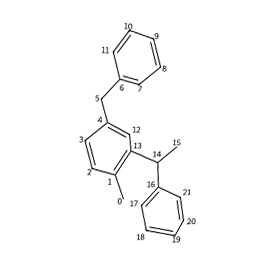 Cc1ccc(Cc2ccccc2)cc1C(C)c1ccccc1